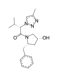 Cc1cn([C@H](C(=O)N2C[C@H](O)C[C@@H]2Cc2ccccc2)C(C)C)nn1